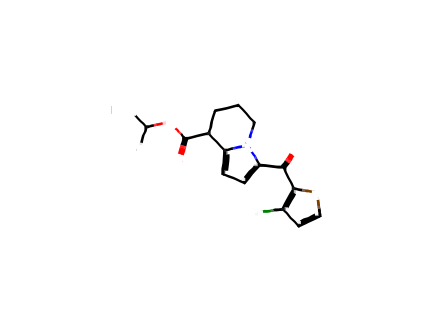 CC(C)OC(=O)C1CCCn2c(C(=O)c3sccc3Br)ccc21